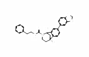 S=C(NCCc1ccccc1)N1CC[C@@H]2C[C@@H]1c1cc(-c3ccc4c(c3)OCO4)ccc12